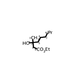 CCOC(=O)CC(C)(O)CCCC(C)C